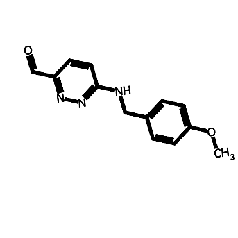 COc1ccc(CNc2ccc(C=O)nn2)cc1